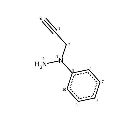 C#CCN(N)c1ccccc1